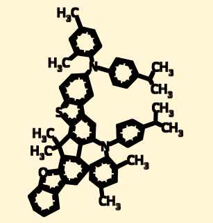 Cc1ccc(N(c2ccc(C(C)C)cc2)c2ccc3sc4c5c(c(N(c6ccc(C(C)C)cc6)c6ccc(C)cc6C)cc4c3c2)-c2ccc3c(oc4ccccc43)c2C5(C)C)c(C)c1